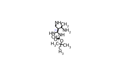 C=C(N)/C(C=N)=C(/NC)NC(=O)OC(C)(C)C